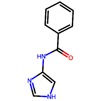 O=C(Nc1c[nH]cn1)c1ccccc1